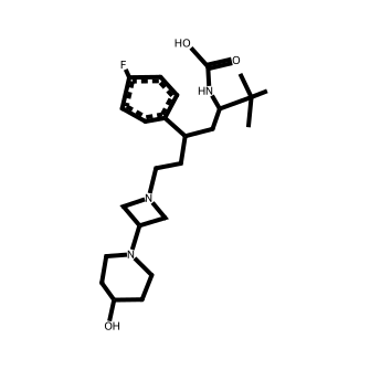 CC(C)(C)C(CC(CCN1CC(N2CCC(O)CC2)C1)c1ccc(F)cc1)NC(=O)O